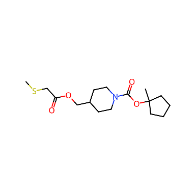 CSCC(=O)OCC1CCN(C(=O)OC2(C)CCCC2)CC1